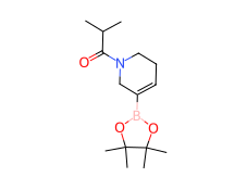 CC(C)C(=O)N1CCC=C(B2OC(C)(C)C(C)(C)O2)C1